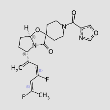 C=C(/C=C(F)\C=C(/C)F)[C@@H]1CC[C@H]2OC3(CCN(C(=O)c4cocn4)CC3)C(=O)N21